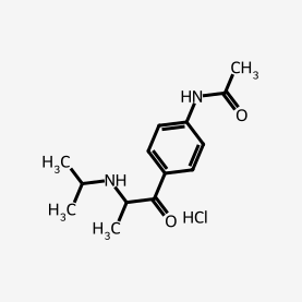 CC(=O)Nc1ccc(C(=O)C(C)NC(C)C)cc1.Cl